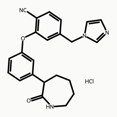 Cl.N#Cc1ccc(Cn2ccnc2)cc1Oc1cccc(C2CCCCNC2=O)c1